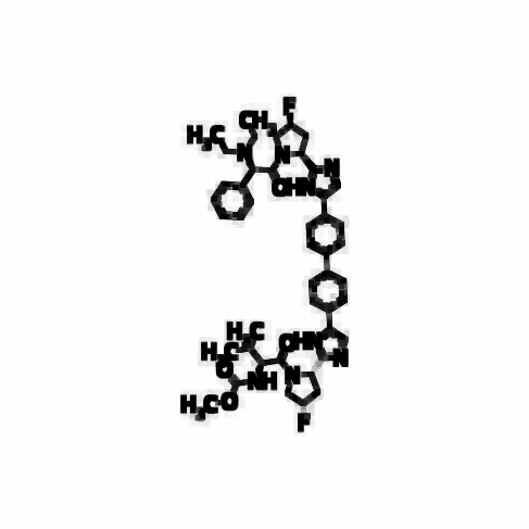 CCN(CC)[C@@H](C(=O)N1C[C@@H](F)C[C@H]1c1ncc(-c2ccc(-c3ccc(-c4cnc([C@@H]5C[C@H](F)CN5C(=O)[C@@H](NC(=O)OC)C(C)C)[nH]4)cc3)cc2)[nH]1)c1ccccc1